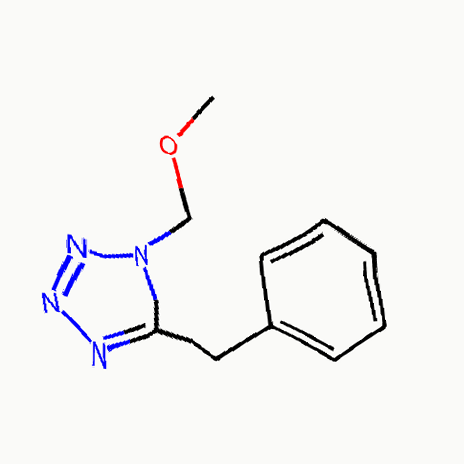 COCn1nnnc1Cc1ccccc1